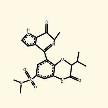 CC1N=C(c2cc(S(=O)(=O)N(C)C)cc3c2OC(C(C)C)C(=O)N3)c2cc[nH]c2C1=O